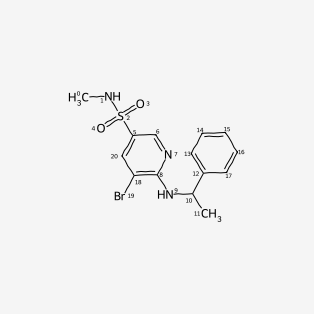 CNS(=O)(=O)c1cnc(NC(C)c2ccccc2)c(Br)c1